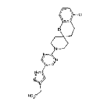 O=C(O)Cn1cc(-c2cnc(N3CCC4(CCc5c(Cl)cccc5O4)CC3)nc2)nn1